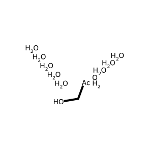 CC(=O)CO.O.O.O.O.O.O.O.O.O